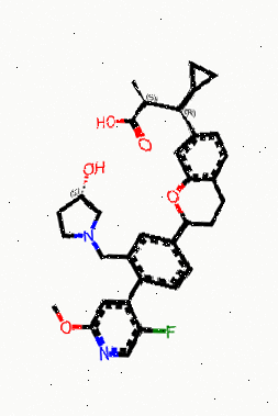 COc1cc(-c2ccc(C3CCc4ccc([C@H](C5CC5)[C@H](C)C(=O)O)cc4O3)cc2CN2CC[C@H](O)C2)c(F)cn1